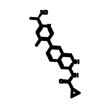 Cc1cc([C@H](C)N=O)ncc1-c1ccc2c(c1)=CNC(NC(=O)C1CC1)C=2